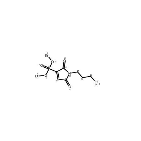 CCOP(=O)(OCC)C1=NC(=O)N(CCCC(F)(F)F)C1=O